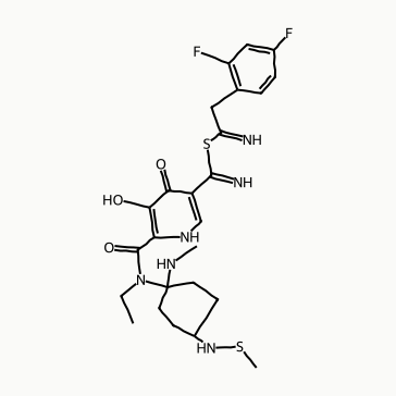 CCN(C(=O)c1[nH]cc(C(=N)SC(=N)Cc2ccc(F)cc2F)c(=O)c1O)C1(NC)CCC(NSC)CC1